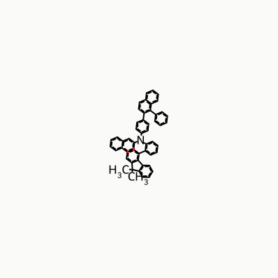 CC1(C)c2ccccc2-c2c(-c3ccccc3N(c3ccc(-c4ccc5ccccc5c4-c4ccccc4)cc3)c3ccc4ccccc4c3)cccc21